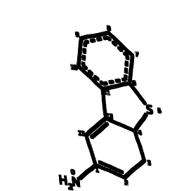 NC1=CCC2Sc3ccccc3C2=C1